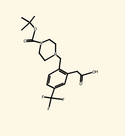 CC(C)(C)OC(=O)N1CCN(Cc2ccc(C(F)(F)F)cc2CC(=O)O)CC1